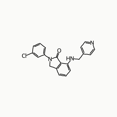 O=C1c2c(cccc2NCc2ccncc2)CN1c1cccc(Cl)c1